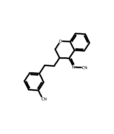 N#C/N=C1\c2ccccc2OCC1CCc1cccc(C#N)c1